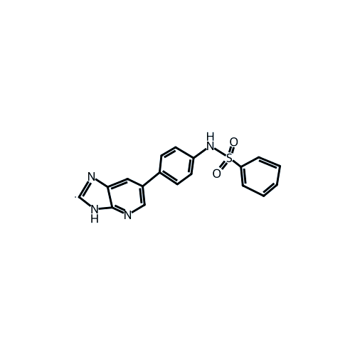 O=S(=O)(Nc1ccc(-c2cnc3[nH][c]nc3c2)cc1)c1ccccc1